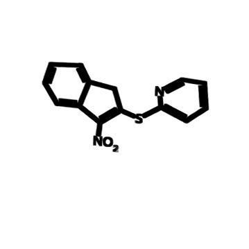 O=[N+]([O-])C1=C(Sc2ccccn2)Cc2ccccc21